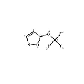 FC(F)(F)OC1C=C[N]O1